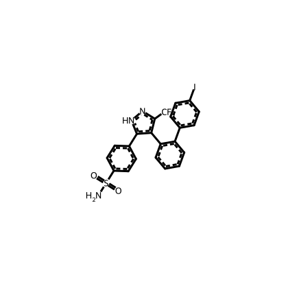 NS(=O)(=O)c1ccc(-c2[nH]nc(C(F)(F)F)c2-c2ccccc2-c2ccc(I)cc2)cc1